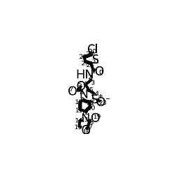 O=C(NCC1OC(=O)N2c3ccc(N4CCOCC4=O)cc3[S+]([O-])CC12)c1ccc(Cl)s1